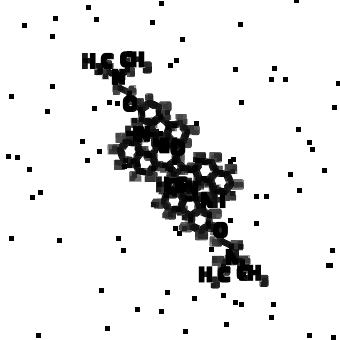 CCN(CC)CCOc1ccc2c(c1)C1(Nc3cccc4ccc(C5=C(O)/C(=c6/ccc7cccc8c7c6=[N+](C)C6(N8)c7ccccc7-c7ccc(OCCN(CC)CC)cc76)C5=O)c(c34)N1)c1ccccc1-2